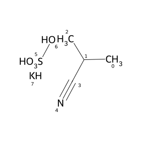 CC(C)C#N.O=S(=O)(O)O.[KH]